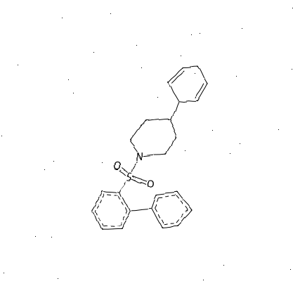 O=S(=O)(c1ccccc1-c1ccccc1)N1CCC(C2C=CCC=C2)CC1